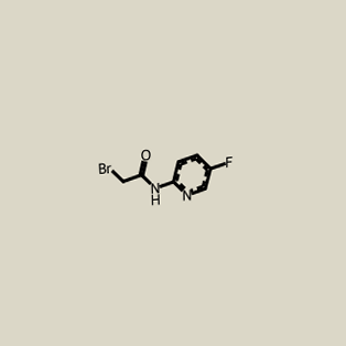 O=C(CBr)Nc1ccc(F)cn1